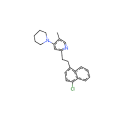 Cc1cnc(CCc2ccc(Cl)c3ccccc23)cc1N1CCCCC1